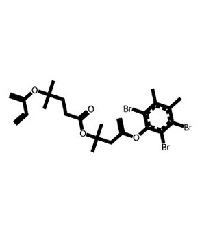 C=CC(=C)OC(C)(C)CCC(=O)OC(C)(C)CC(=C)Oc1c(Br)c(C)c(C)c(Br)c1Br